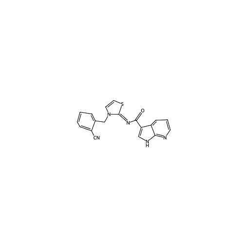 N#Cc1ccccc1Cn1ccsc1=NC(=O)c1c[nH]c2ncccc12